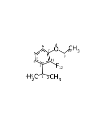 [CH2]C(C)c1cccc(OCC)c1F